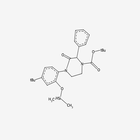 C[SiH](C)Oc1cc(C(C)(C)C)ccc1N1CCN(C(=O)OC(C)(C)C)C(c2ccccc2)C1=O